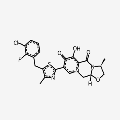 Cc1nc(-c2cn3c(c(O)c2=O)C(=O)N2[C@@H](C)CO[C@@H]2C3)sc1Cc1cccc(Cl)c1F